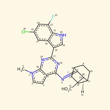 Cn1ccc2c(/N=C3\C4CCC(CC4)[C@H]3C(=O)O)nc(-c3c[nH]c4c(F)cc(Cl)cc34)nc21